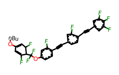 CCCCOC1=CC(F)C(C(F)(F)Oc2ccc(C#Cc3ccc(C#Cc4cc(F)c(F)c(F)c4)c(F)c3)c(F)c2)C(F)=C1